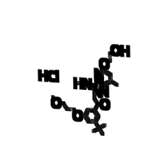 COCCCOc1cc(C(=O)Cn2nc3c(C)cc(OCCO)nn3c2=N)cc(C(C)(C)C)c1.Cl